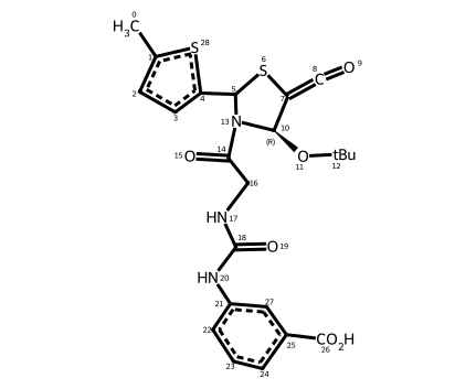 Cc1ccc(C2SC(=C=O)[C@@H](OC(C)(C)C)N2C(=O)CNC(=O)Nc2cccc(C(=O)O)c2)s1